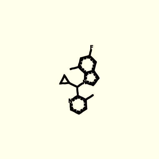 Cc1cccnc1C(C1CC1)n1ccc2cc(F)cc(C)c21